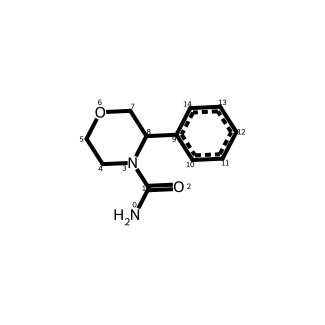 NC(=O)N1CCOCC1c1ccccc1